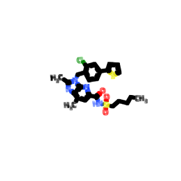 CCCCCS(=O)(=O)NC(=O)c1cc(C)c2nc(C)n(Cc3ccc(-c4cccs4)cc3Cl)c2n1